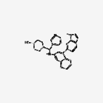 Cn1ccc2ccc(-c3cc(NC(c4cccnc4)C4CCC(O)CC4)cc4nccnc34)cc21